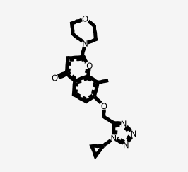 Cc1c(OCc2nnnn2C2CC2)ccc2c(=O)cc(N3CCOCC3)oc12